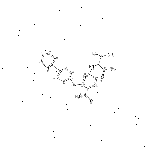 CC(C)C(Nc1cnc(C(N)=O)c(Nc2ccc(-c3ccccn3)cc2)n1)C(N)=O